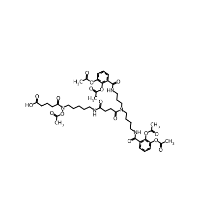 CC(=O)Oc1cccc(C(=O)NCCCCN(CCCNC(=O)c2cccc(OC(C)=O)c2OC(C)=O)C(=O)CCC(=O)NCCCCCN(OC(C)=O)C(=O)CCCC(=O)O)c1OC(C)=O